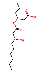 CCCCCCC(O)CC(=O)OC(CCC)CC(=O)O